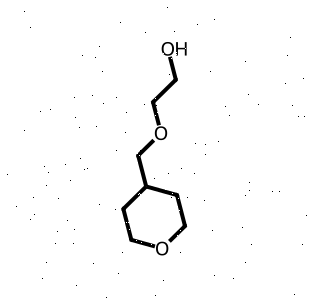 OCCOCC1CCOCC1